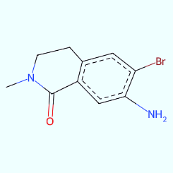 CN1CCc2cc(Br)c(N)cc2C1=O